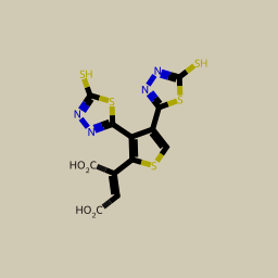 O=C(O)C=C(C(=O)O)c1scc(-c2nnc(S)s2)c1-c1nnc(S)s1